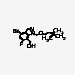 C[Si](C)(C)CCOCn1ncc2c(Br)cc(F)c(CO)c21